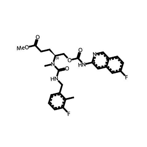 COC(=O)CC[C@@H](COC(=O)Nc1cc2cc(F)ccc2cn1)N(C)C(=O)NCc1cccc(F)c1C